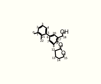 Cc1cccc(-c2ccc(OC3CCCCO3)c(CO)c2)c1C